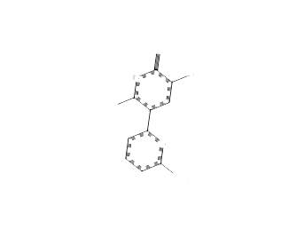 Cc1cccc(-c2cc(Br)c(=O)[nH]c2C(C)C)n1